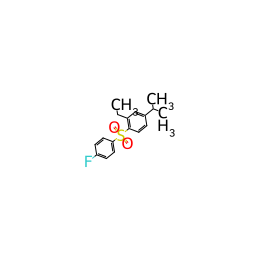 CCc1cc(C(C)C)ccc1S(=O)(=O)c1ccc(F)cc1